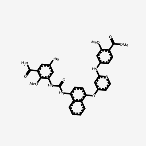 COC(=O)c1ccc(Nc2cc(Oc3ccc(NC(=O)Nc4cc(C(C)(C)C)cc(C(N)=O)c4OC)c4ccccc34)ccn2)cc1OC